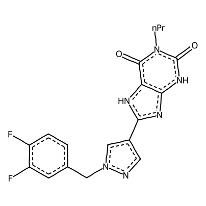 CCCn1c(=O)[nH]c2nc(-c3cnn(Cc4ccc(F)c(F)c4)c3)[nH]c2c1=O